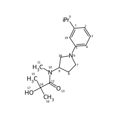 CC(C)c1cccc(N2CCC(N(C)C(=O)C(C)(C)O)C2)c1